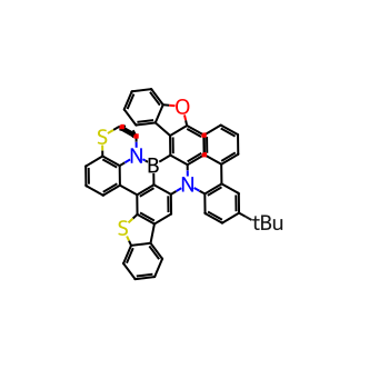 CC(C)(C)c1ccc(N2c3cc4c(sc5ccccc54)c4c3B(c3c2ccc2oc5ccccc5c32)N2c3ccccc3Sc3cccc-4c32)c(-c2ccccc2)c1